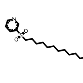 CCCCCCCCCCCCS(=O)(=O)c1cc[c]nc1